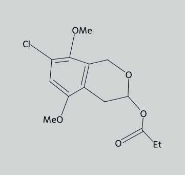 CCC(=O)OC1Cc2c(OC)cc(Cl)c(OC)c2CO1